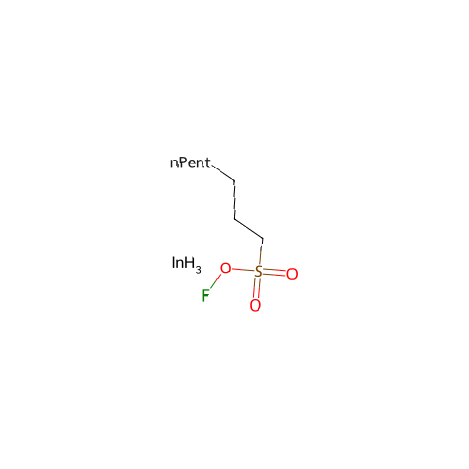 CCCCCCCCS(=O)(=O)OF.[InH3]